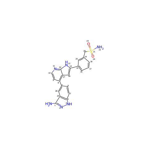 Nc1n[nH]c2ccc(-c3ccnc4[nH]c(-c5cccc(CS(N)(=O)=O)c5)cc34)cc12